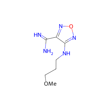 COCCCNc1nonc1C(=N)N